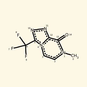 Cn1ccn2c(C(F)(F)F)nnc2c1=O